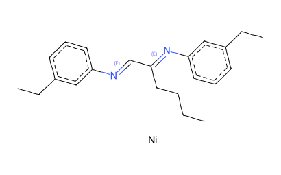 CCCCC(/C=N/c1cccc(CC)c1)=N\c1cccc(CC)c1.[Ni]